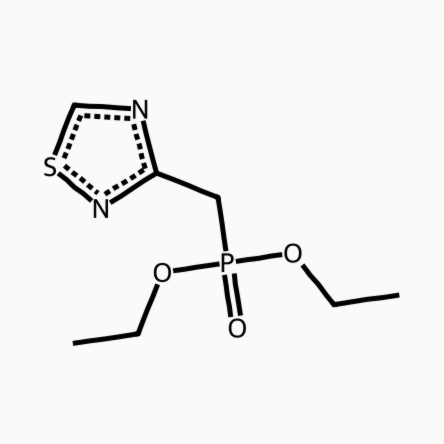 CCOP(=O)(Cc1ncsn1)OCC